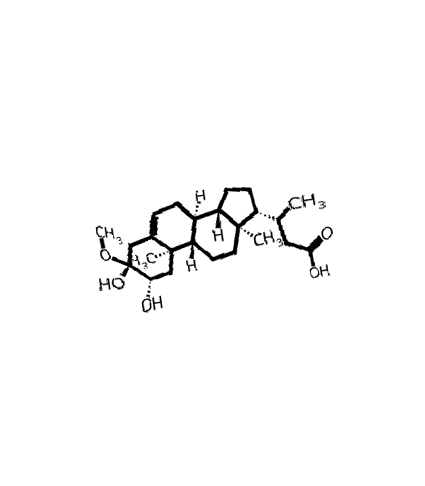 CO[C@]1(O)CC2=CC[C@H]3[C@@H]4CC[C@H](C(C)CC(=O)O)[C@@]4(C)CC[C@@H]3[C@@]2(C)C[C@@H]1O